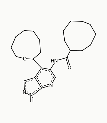 O=C(Nc1cnc2[nH]ncc2c1C1CCCCCCCC1)C1CCCCCCCC1